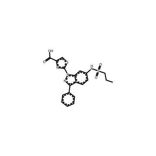 CCCS(=O)(=O)Nc1ccc2c(-c3ccccc3)nn(-c3nc(C(=O)O)cs3)c2c1